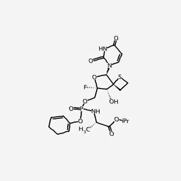 CC(C)OC(=O)[C@H](C)NP(=O)(OC[C@@]1(F)O[C@@H](n2ccc(=O)[nH]c2=O)[C@@]2(CCS2)[C@@H]1O)OC1=CCCC=C1